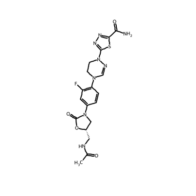 CC(=O)NC[C@H]1CN(c2ccc(N3C=NN(c4nnc(C(N)=O)s4)CC3)c(F)c2)C(=O)O1